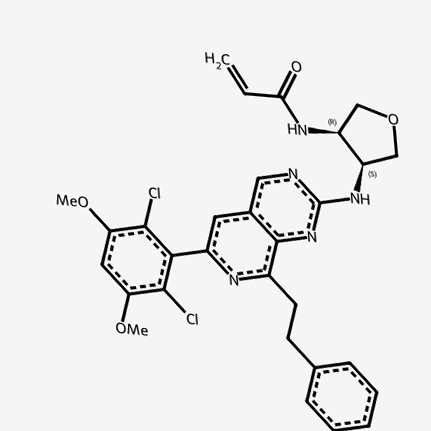 C=CC(=O)N[C@H]1COC[C@H]1Nc1ncc2cc(-c3c(Cl)c(OC)cc(OC)c3Cl)nc(CCc3ccccc3)c2n1